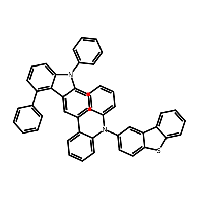 c1ccc(-c2cccc3c2c2cc(-c4ccccc4N(c4ccccc4)c4ccc5sc6ccccc6c5c4)ccc2n3-c2ccccc2)cc1